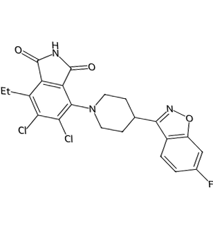 CCc1c(Cl)c(Cl)c(N2CCC(c3noc4cc(F)ccc34)CC2)c2c1C(=O)NC2=O